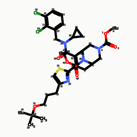 CC(C)(C)OC(=O)N1CC2CC(c3nc(CCCO[Si](C)(C)C(C)(C)C)cs3)=C(C(=O)N(Cc3cccc(Cl)c3Cl)C3CC3)C(C1)N2C(=O)OC(C)(C)C